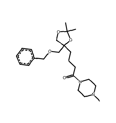 CN1CCN(C(=O)CCCC2(COCc3ccccc3)COC(C)(C)O2)CC1